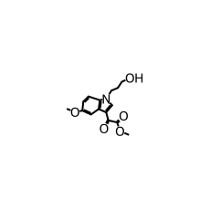 COC(=O)C(=O)c1cn(CCCO)c2ccc(OC)cc12